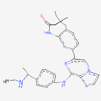 CCCNC(C)c1ccc(Nc2nc(-c3ccc4c(c3)NC(=O)C4(C)C)cn3ccnc23)cc1